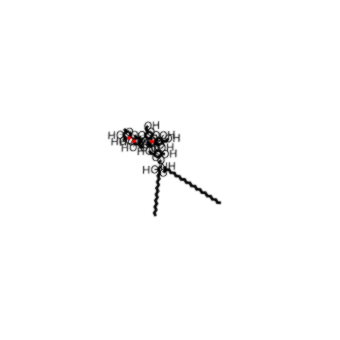 CCCCCCCCCCCCC/C=C/[C@@H](O)[C@H](CO[C@@H]1OC(CO)[C@@H](O[C@@H]2OC(CO)[C@H](O)[C@H](O[C@@H]3OC(CO)[C@@H](O[C@@H]4OC(CO)[C@H](O)[C@H](O)C4O[C@H]4OC(C)[C@@H](O)C(O)[C@@H]4O)[C@H](O)C3NC(C)=O)C2O)[C@H](O)C1O)NC(=O)CCCCCCCCCCCCCCCCCCCCC